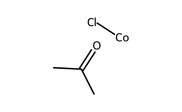 CC(C)=O.[Cl][Co]